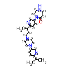 CC(C)c1ccc(N2CCN(CCC(C)c3ccc(N4CCNCCC4=O)cn3)CC2)cn1